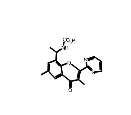 Cc1cc(C(C)NC(=O)O)c2oc(-c3ncccn3)c(C)c(=O)c2c1